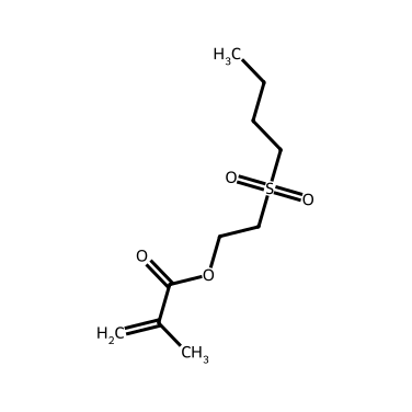 C=C(C)C(=O)OCCS(=O)(=O)CCCC